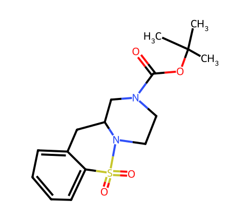 CC(C)(C)OC(=O)N1CCN2C(Cc3ccccc3S2(=O)=O)C1